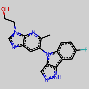 Cc1nc2c(cc1-n1c3ccc(F)cc3c3[nH]ncc31)ncn2CCO